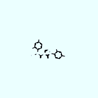 CC(C)N(C(=O)n1cnn(-c2ccc(Cl)cc2F)c1=O)c1ccc(F)cc1F